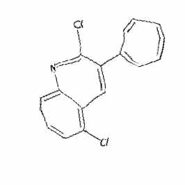 Clc1nc2cccc(Cl)c2cc1-c1ccccc1